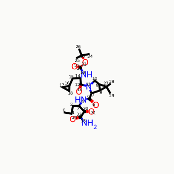 CCCC(NC(=O)C1C2C(CN1C(=O)C(CC1CC1)NC(=O)OC(C)(C)C)C2(C)C)C(=O)C(N)=O